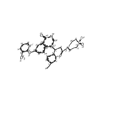 Cc1ccc(C(CC(=O)N2CCS(=O)(=O)CC2)n2cnc(=O)c3cc(Oc4ncccc4C(F)(F)F)ccc32)cc1